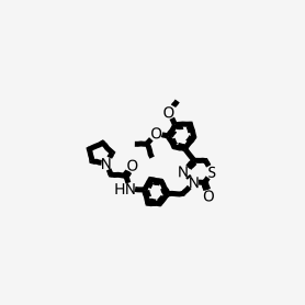 COc1ccc(C2=NN(Cc3ccc(NC(=O)CN4CCCC4)cc3)C(=O)SC2)cc1OC(C)C